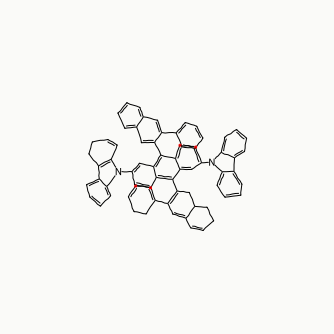 C1=CCCC(C2=C(c3c4cc(-n5c6ccccc6c6ccccc65)ccc4c(-c4cc5ccccc5cc4-c4ccccc4)c4cc(-n5c6c(c7ccccc75)CCC=C6)ccc34)CC3CCC=CC3=C2)=C1